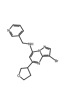 Brc1cnn2c(NCc3cccnc3)cc(C3CCOC3)nc12